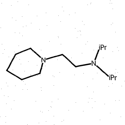 CC(C)N(CCN1CCCCC1)C(C)C